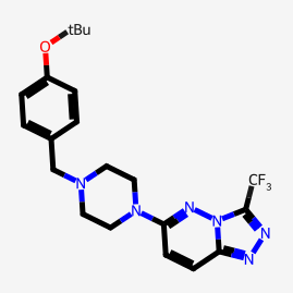 CC(C)(C)Oc1ccc(CN2CCN(c3ccc4nnc(C(F)(F)F)n4n3)CC2)cc1